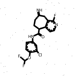 N=C1CCC(C(=O)Nc2ccc(OC(F)F)c(Cl)c2)c2ccnc(F)c2C1